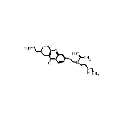 C=CNCCN(CCc1ccc2c(Cl)c3c(nc2c1)CCC(CCN)C3)C(=C)C